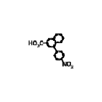 O=C(O)c1cc(-c2ccc([N+](=O)[O-])cc2)c2ccccc2c1